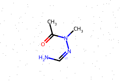 CC(=O)N(C)/N=C\N